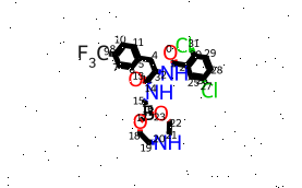 O=C(NC(Cc1ccc(C(F)(F)F)cc1)C(=O)NCB1OCCNCCO1)c1cc(Cl)ccc1Cl